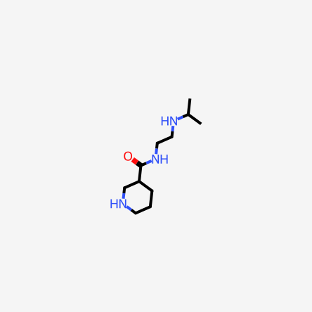 CC(C)NCCNC(=O)C1CCCNC1